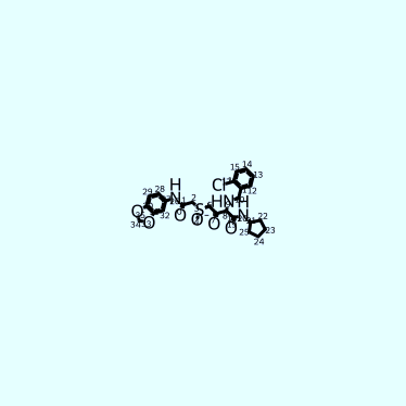 O=C(C[S+]([O-])CC(=O)C(NCc1ccccc1Cl)C(=O)NC1CCCC1)Nc1ccc2c(c1)OCO2